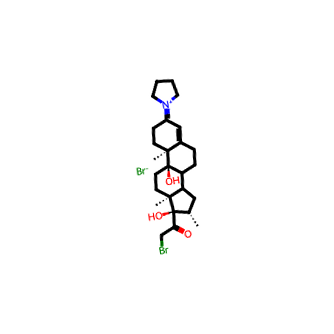 C[C@H]1CC2C3CCC4=CC(=[N+]5CCCC5)CC[C@]4(C)[C@@]3(O)CC[C@]2(C)[C@@]1(O)C(=O)CBr.[Br-]